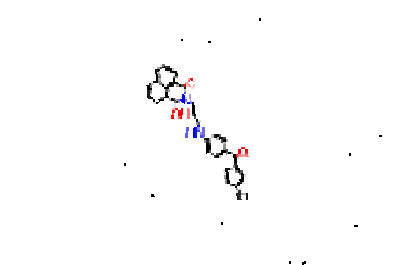 CC(C)c1ccc(C(=O)c2ccc(NCCCN3C(=O)c4cccc5cccc(c45)C3O)cc2)cc1